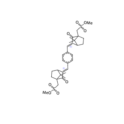 COS(=O)(=O)CC12CCC(/C(=C\c3ccc(/C=C4/C(=O)C5(CS(=O)(=O)OC)CCC4C5(C)C)cc3)C1=O)C2(C)C